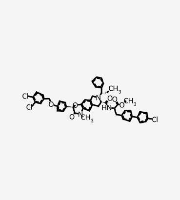 CC[C@@H](c1ccccc1)N1Cc2cc3c(cc2C[C@H]1C(=O)NC(Cc1ccc(-c2ccc(Cl)cc2)cc1)C(=O)OC)N(C)C(=O)[C@@H](c1ccc(OCc2ccc(Cl)c(Cl)c2)cc1)O3